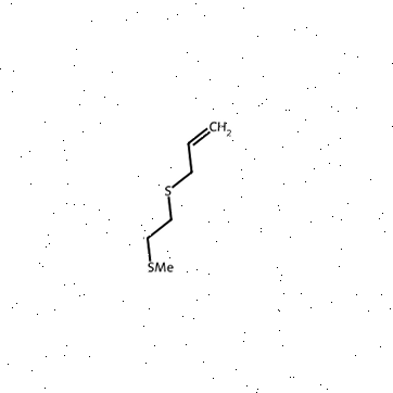 C=CCSC[CH]SC